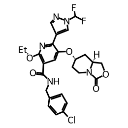 CCOc1nc(-c2cnn(C(F)F)c2)c(O[C@H]2CCN3C(=O)OC[C@@H]3C2)cc1C(=O)NCc1ccc(Cl)cc1